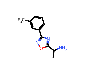 CC(N)c1nc(-c2cccc(C(F)(F)F)c2)no1